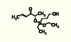 CC=CC(=O)C(C)O[Si](CC)(CCCO)OCC